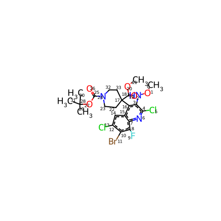 CONc1c(Cl)nc2c(F)c(Br)c(Cl)cc2c1C1(C(=O)OC)CCN(C(=O)OC(C)(C)C)CC1